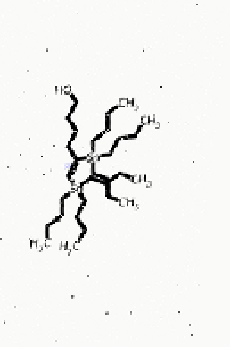 CCC[CH2][Sn](/[CH]=[C](/CCCCO)[Sn]([CH2]CCC)([CH2]CCC)[CH2]CCC)([CH2]CCC)[CH2]CCC